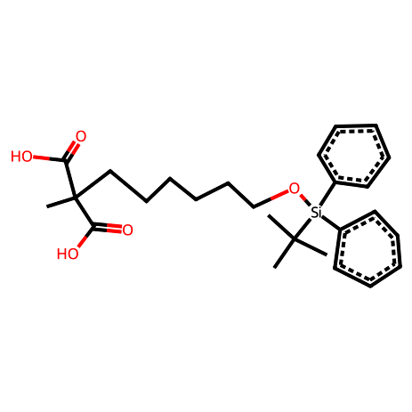 CC(CCCCCCO[Si](c1ccccc1)(c1ccccc1)C(C)(C)C)(C(=O)O)C(=O)O